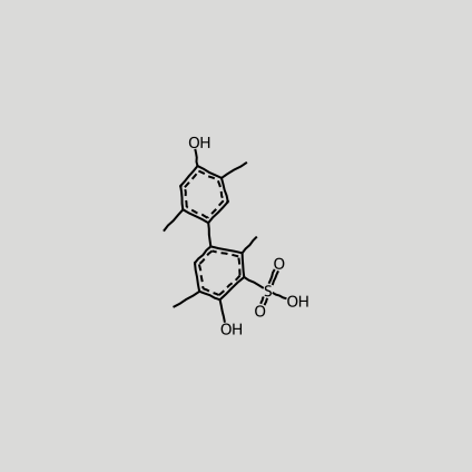 Cc1cc(-c2cc(C)c(O)c(S(=O)(=O)O)c2C)c(C)cc1O